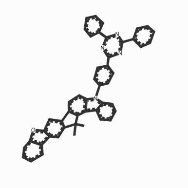 CC1(C)c2cc3c(cc2-c2ccc4c(c21)c1ccccc1n4-c1ccc(-c2nc(-c4ccccc4)nc(-c4ccccc4)n2)cc1)oc1ccccc13